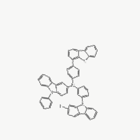 Fc1ccc2c3ccccc3n(-c3cccc(N(c4ccc(-c5cccc6c5sc5ccccc56)cc4)c4ccc5c(c4)c4ccccc4n5-c4ccccc4)c3)c2c1